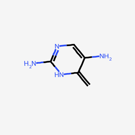 C=C1NC(N)=NC=C1N